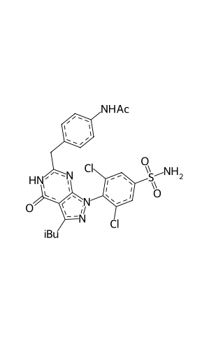 CCC(C)c1nn(-c2c(Cl)cc(S(N)(=O)=O)cc2Cl)c2nc(Cc3ccc(NC(C)=O)cc3)[nH]c(=O)c12